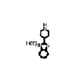 Cl.Cl.c1ccc2[nH]c(C3CCNCC3)nc2c1